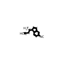 [C-]#[N+]c1ccc2c(c1)C=CC2C(C)CC#C